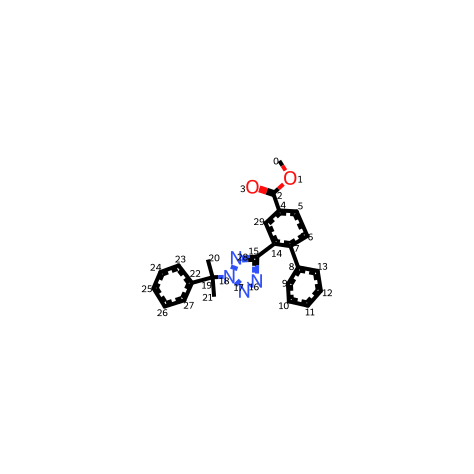 COC(=O)c1ccc(-c2ccccc2)c(-c2nnn(C(C)(C)c3ccccc3)n2)c1